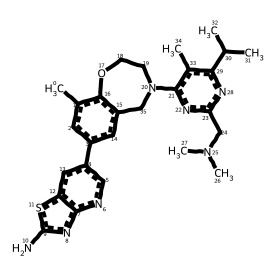 Cc1cc(-c2cnc3nc(N)sc3c2)cc2c1OCCN(c1nc(CN(C)C)nc(C(C)C)c1C)C2